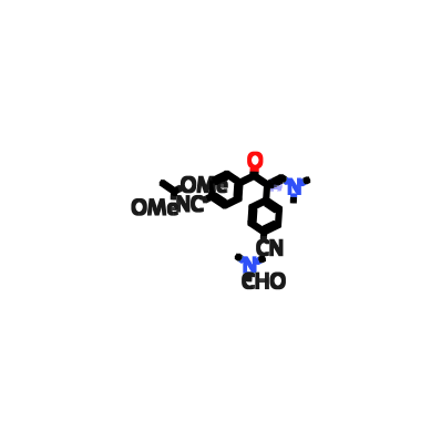 CN(C)/C=C(/C(=O)c1ccc(C#N)cc1)c1ccc(C#N)cc1.CN(C)C=O.COC(C)OC